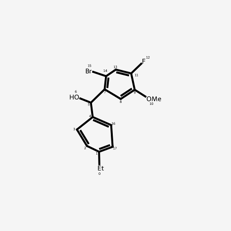 CCc1ccc(C(O)c2cc(OC)c(F)cc2Br)cc1